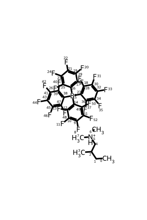 CCC(C)C[NH+](C)C.Fc1c(F)c(F)c([B-](c2c(F)c(F)c(F)c(F)c2F)(c2c(F)c(F)c(F)c(F)c2F)c2c(F)c(F)c(F)c(F)c2F)c(F)c1F